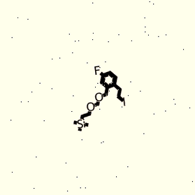 C[Si](C)(C)CCOCOCc1cc(F)ccc1CCI